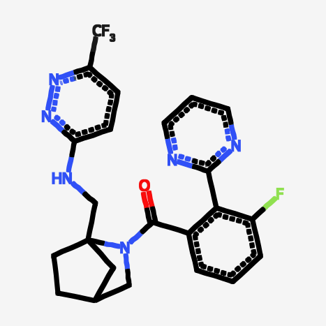 O=C(c1cccc(F)c1-c1ncccn1)N1CC2CCC1(CNc1ccc(C(F)(F)F)nn1)C2